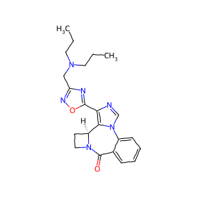 CCCN(CCC)Cc1noc(-c2ncn3c2[C@@H]2CCN2C(=O)c2ccccc2-3)n1